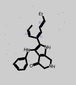 C\C=C/C(=C\C=C\CC)c1[nH]c2c(c1Nc1ccccc1)C(=O)CNC2